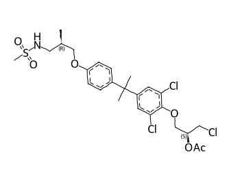 CC(=O)O[C@H](CCl)COc1c(Cl)cc(C(C)(C)c2ccc(OC[C@H](C)CNS(C)(=O)=O)cc2)cc1Cl